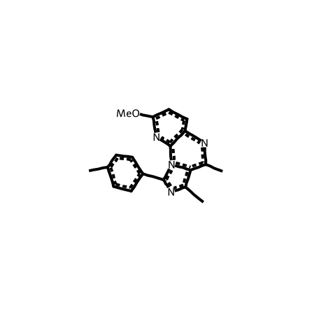 COc1ccc2nc(C)c3c(C)nc(-c4ccc(C)cc4)n3c2n1